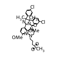 COc1ccc(C2=NC(C)(c3ccc(Cl)cc3)C(C)(c3ccc(Cl)cc3)N2C(=O)N2CCN(CCCS(C)(=O)=O)CC2)c(OC)n1